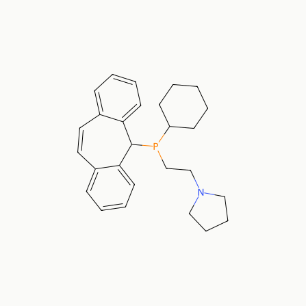 C1=Cc2ccccc2C(P(CCN2CCCC2)C2CCCCC2)c2ccccc21